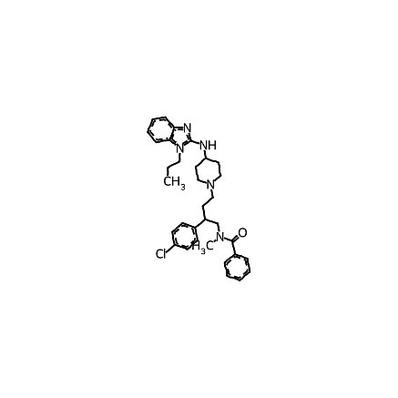 CCCn1c(NC2CCN(CCC(CN(C)C(=O)c3ccccc3)c3ccc(Cl)cc3)CC2)nc2ccccc21